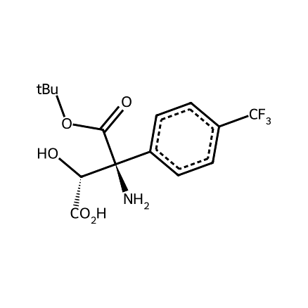 CC(C)(C)OC(=O)[C@](N)(c1ccc(C(F)(F)F)cc1)[C@@H](O)C(=O)O